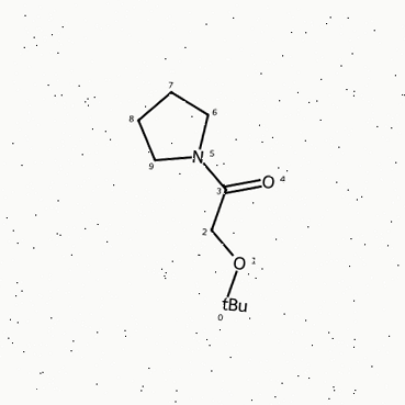 CC(C)(C)OCC(=O)N1CCCC1